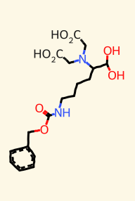 O=C(O)CN(CC(=O)O)C(CCCCNC(=O)OCc1ccccc1)C(O)O